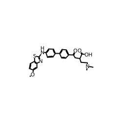 COc1ccc2sc(Nc3ccc(-c4ccc(C(=O)CC(CCN(C)C)C(=O)O)cc4)cc3)nc2c1